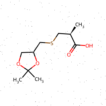 C[C@H](CSCC1COC(C)(C)O1)C(=O)O